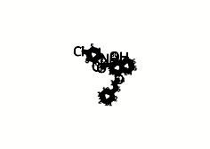 O=C(Nc1ccc(Cl)cc1Cl)c1cc(OCCc2ccccc2)c2ccccc2c1O